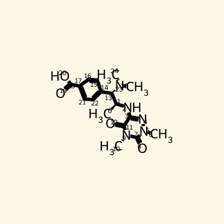 C[C@H](Nc1nn(C)c(=O)n(C)c1=O)[C@H](c1ccc(C(=O)O)cc1)N(C)C